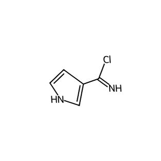 N=C(Cl)c1cc[nH]c1